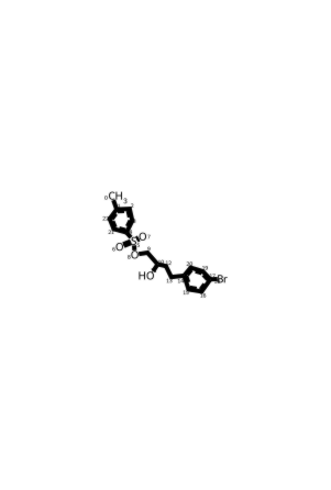 Cc1ccc(S(=O)(=O)OCC(O)CCc2ccc(Br)cc2)cc1